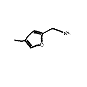 Cc1coc(CN)c1